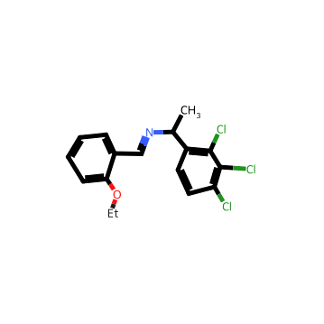 CCOc1ccccc1C=NC(C)c1ccc(Cl)c(Cl)c1Cl